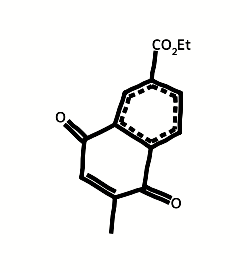 CCOC(=O)c1ccc2c(c1)C(=O)C=C(C)C2=O